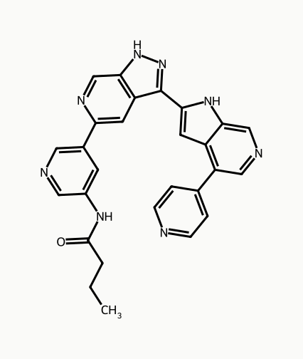 CCCC(=O)Nc1cncc(-c2cc3c(-c4cc5c(-c6ccncc6)cncc5[nH]4)n[nH]c3cn2)c1